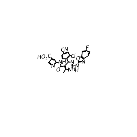 CC1=C(C(=O)Nc2cc(C(=O)O)ccn2)C(c2ccc(C#N)cc2Cl)N=C(Nc2nc3ccc(F)cc3o2)N1